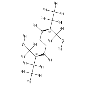 [2H]OC([2H])([2H])[C@@H](N([2H])CCN([2H])[C@H](C([2H])([2H])O[2H])C([2H])([2H])C([2H])([2H])[2H])C([2H])([2H])C([2H])([2H])[2H]